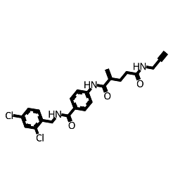 C#CCNC(=O)CCC(=C)C(=O)Nc1ccc(C(=O)NCc2ccc(Cl)cc2Cl)cc1